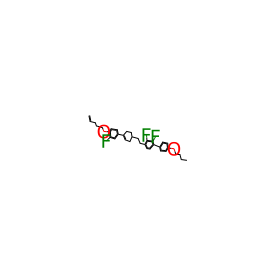 C=CCCCOc1ccc(C2=CCC(CCc3ccc(-c4ccc(OCCCC)cc4)c(F)c3F)CC2)cc1F